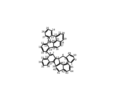 c1ccc(CC2c3cc(-c4cccc5c4c4ccc6cccc7c8ccccc8n5c4c67)c4ccccc4c3-c3ccc4ccccc4c32)cc1